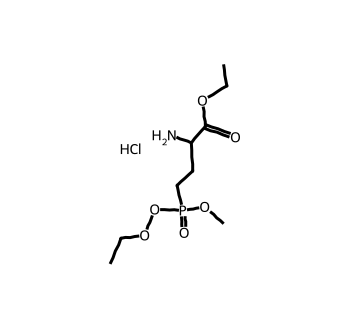 CCOOP(=O)(CCC(N)C(=O)OCC)OC.Cl